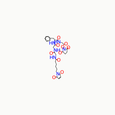 O=C(CCCCCN1C(=O)C=CC1=O)NCC(=O)NCC(=O)NC(Cc1ccccc1)C(=O)NCC(=O)ON1C(=O)CCC1=O